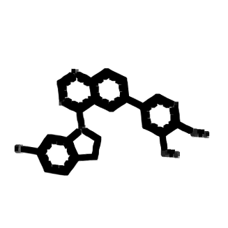 COc1cc(-c2ccc3ncnc(N4CCc5ccc(Cl)cc54)c3c2)cnc1OC